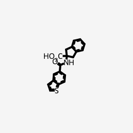 O=C(NC1(C(=O)O)Cc2ccccc2C1)c1ccc2sccc2c1